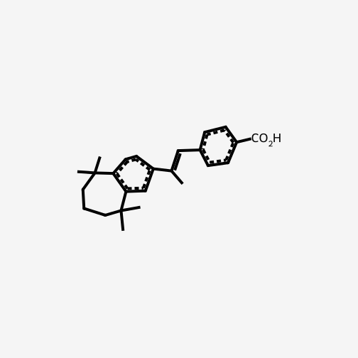 CC(=Cc1ccc(C(=O)O)cc1)c1ccc2c(c1)C(C)(C)CCCC2(C)C